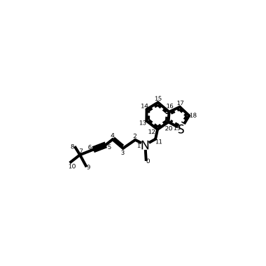 CN(C/C=C/C#CC(C)(C)C)Cc1cccc2ccsc12